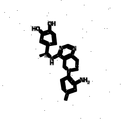 Cc1ccc(N2CCc3ncnc(N[C@@H](C)c4ccc(O)c(O)c4)c3C2)c(N)c1